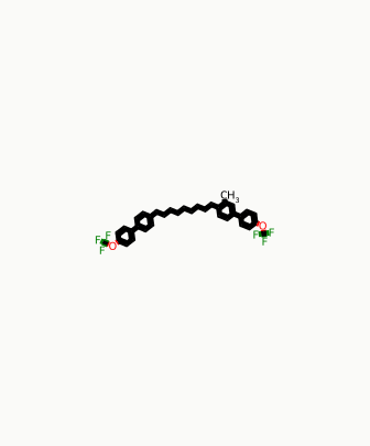 Cc1cc(-c2ccc(OC(F)(F)F)cc2)ccc1CCCCCCCCCc1ccc(-c2ccc(OC(F)(F)F)cc2)cc1